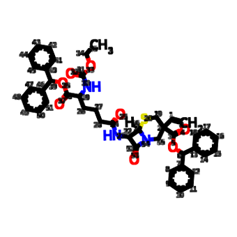 C=CC1(C(=O)OC(c2ccccc2)c2ccccc2)CS[C@@H]2C(NC(=O)CCCC(NC(=O)OCC)C(=O)OC(c3ccccc3)c3ccccc3)C(=O)N2C1